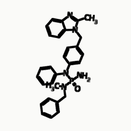 Cc1nc2ccccc2n1Cc1ccc(N(c2ccccc2)P(N)(=O)N(C)Cc2ccccc2)cc1